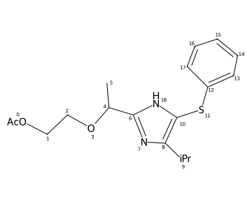 CC(=O)OCCOC(C)c1nc(C(C)C)c(Sc2ccccc2)[nH]1